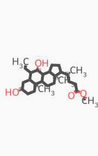 CCC1C2C[C@H](O)CC[C@]2(C)C2CC[C@@]3(C)C(CCC3[C@H](C)CCC(=O)OC)C2[C@@H]1O